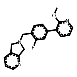 COc1ncccc1-c1ccc(CN2Cc3cccnc3C2)c(F)c1